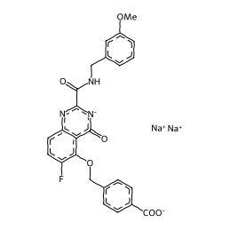 COc1cccc(CNC(=O)c2nc3ccc(F)c(OCc4ccc(C(=O)[O-])cc4)c3c(=O)[n-]2)c1.[Na+].[Na+]